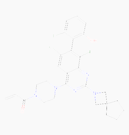 C=CC(=O)N1CCN(c2nc(N3CC4(CCCC4)C3)nc3c(F)c(-c4c(O)cccc4F)c(Cl)cc23)CC1